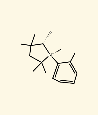 Cc1ccccc1[N@+]1(C)[C@@H](C)C(C)(C)CC1(C)C